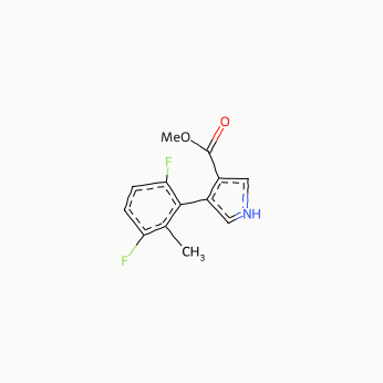 COC(=O)c1c[nH]cc1-c1c(F)ccc(F)c1C